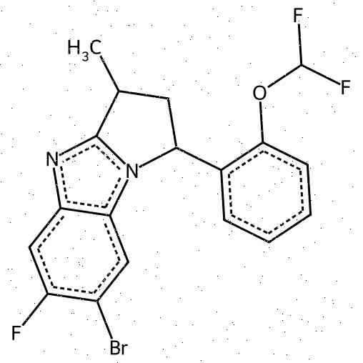 CC1CC(c2ccccc2OC(F)F)n2c1nc1cc(F)c(Br)cc12